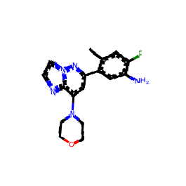 Cc1cc(F)c(N)cc1-c1cc(N2CCOCC2)c2nccn2n1